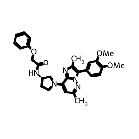 COc1ccc(-c2c(C)nc3c(N4CC[C@@H](NC(=O)COc5ccccc5)C4)cc(C)nn23)cc1OC